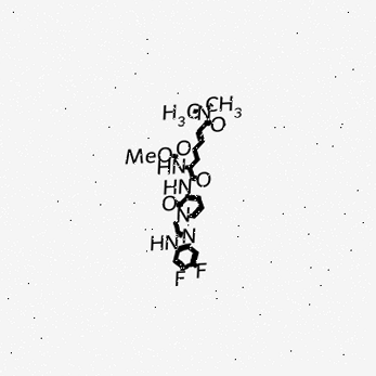 COC(=O)NC(CC/C=C/C(=O)N(C)C)C(=O)Nc1cccn(Cc2nc3cc(F)c(F)cc3[nH]2)c1=O